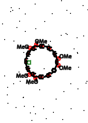 COCOC12CCC(OCOC)(CC1)c1ccc(cc1)-c1ccc(cc1)-c1ccc(cc1)C1(OCOC)CCC(OCOC)(CC1)c1ccc(cc1)-c1ccc(cc1Cl)-c1ccc(cc1)C1(OCOC)CCC(OCOC)(CC1)c1ccc(cc1)-c1ccc(cc1)-c1ccc2cc1